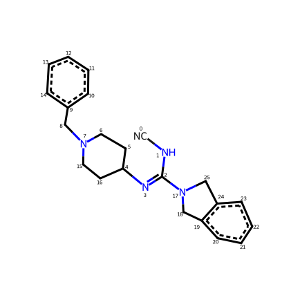 N#CNC(=NC1CCN(Cc2ccccc2)CC1)N1Cc2ccccc2C1